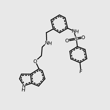 O=S(=O)(Nc1cccc(CNCCOc2cccc3[nH]ccc23)c1)c1ccc(F)cc1